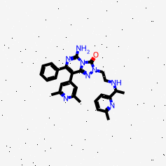 Cc1cc(-c2c(-c3ccccc3)nc(N)n3c(=O)n(CCNC(C)c4cccc(C)n4)nc23)cc(C)n1